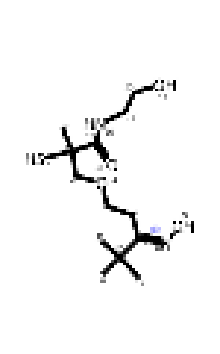 CC(S)(COCC/C(=N\O)C(C)(C)C)C(=O)NCCO